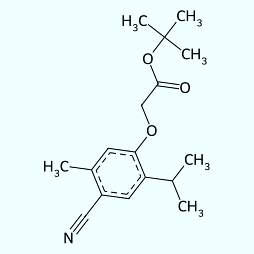 Cc1cc(OCC(=O)OC(C)(C)C)c(C(C)C)cc1C#N